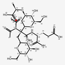 CC(=O)N(C(C)=O)[C@@](CC1O[C@H](CO)[C@@H](O)[C@H](O)[C@H]1N)(C(=O)N[C@H](CCC(=O)O)C(N)=O)C1O[C@H](CO)[C@@H](O)[C@H](O[C@H](C)C(=O)O)[C@H]1N